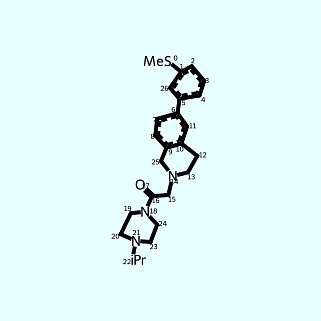 CSc1cccc(-c2ccc3c(c2)CCN(CC(=O)N2CCN(C(C)C)CC2)C3)c1